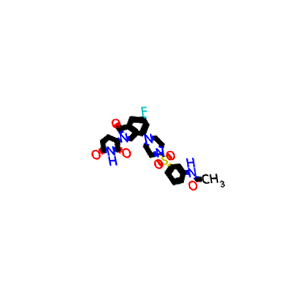 CC(=O)Nc1cccc(S(=O)(=O)N2CCN(c3cc(F)cc4c3CN(C3CCC(=O)NC3=O)C4=O)CC2)c1